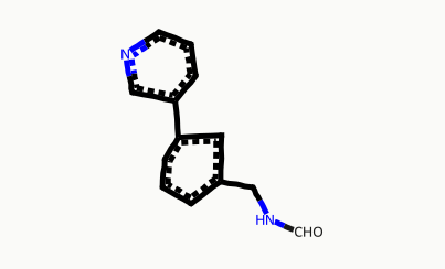 O=CNCc1cccc(-c2cccnc2)c1